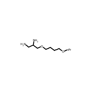 CCCOCCCCOCC(N)CN